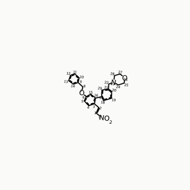 O=[N+]([O-])C=Cc1ccc(OCc2ccccc2)cc1-c1cccc(CN2CCOCC2)c1